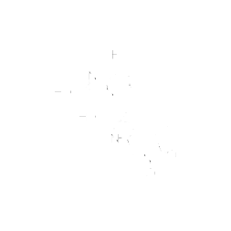 Cc1cn2cc(C[C@H]3CC[C@H](C(=O)N4OCC[C@H]4c4csc(C)n4)CC3)cc(F)c2n1